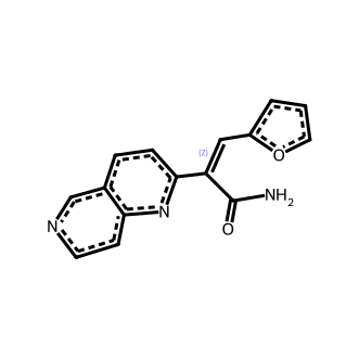 NC(=O)/C(=C\c1ccco1)c1ccc2cnccc2n1